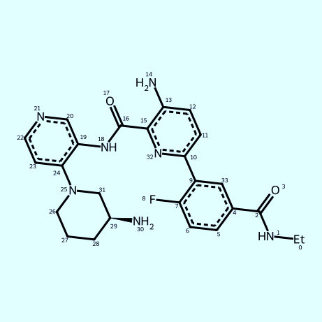 CCNC(=O)c1ccc(F)c(-c2ccc(N)c(C(=O)Nc3cnccc3N3CCC[C@H](N)C3)n2)c1